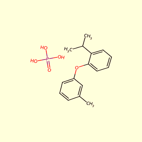 Cc1cccc(Oc2ccccc2C(C)C)c1.O=P(O)(O)O